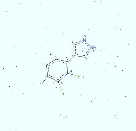 Cc1ccc(-c2cn[nH]c2)c(F)c1F